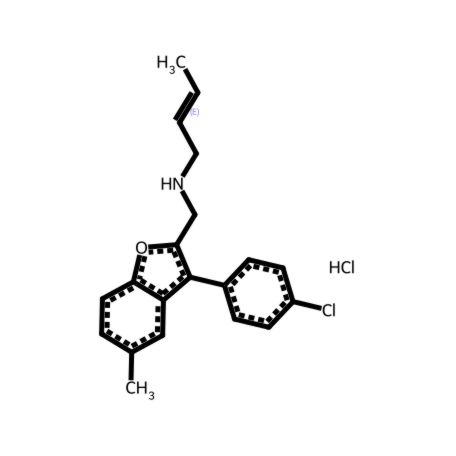 C/C=C/CNCc1oc2ccc(C)cc2c1-c1ccc(Cl)cc1.Cl